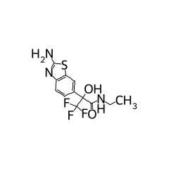 CCNC(=O)C(O)(c1ccc2nc(N)sc2c1)C(F)(F)F